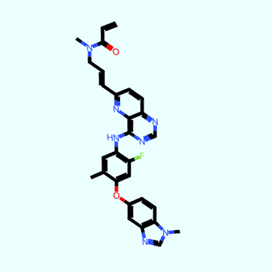 C=CC(=O)N(C)CC=Cc1ccc2ncnc(Nc3cc(C)c(Oc4ccc5c(c4)ncn5C)cc3F)c2n1